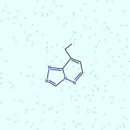 CCc1c[c]nn2cnnc12